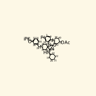 CC(=O)OC1CCN(c2ccc(F)cc2N2C(=O)N=C(NC3CCCCC3)C23CCN(Cc2cccc(OC(C)C)c2)CC3)CC1